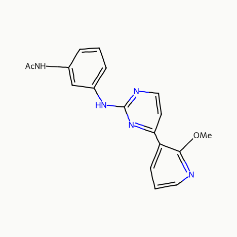 COc1ncccc1-c1ccnc(Nc2cccc(NC(C)=O)c2)n1